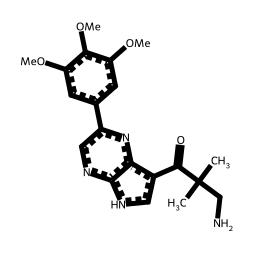 COc1cc(-c2cnc3[nH]cc(C(=O)C(C)(C)CN)c3n2)cc(OC)c1OC